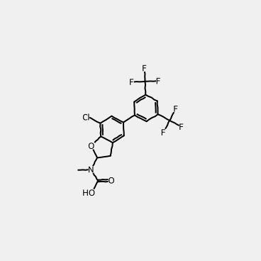 CN(C(=O)O)C1Cc2cc(-c3cc(C(F)(F)F)cc(C(F)(F)F)c3)cc(Cl)c2O1